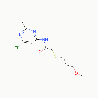 COCCCSCC(=O)Nc1cc(Cl)nc(C)n1